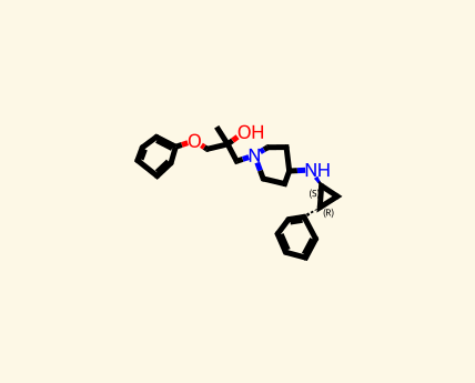 CC(O)(COc1ccccc1)CN1CCC(N[C@H]2C[C@@H]2c2ccccc2)CC1